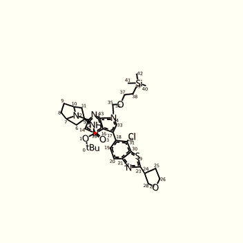 CC(C)(C)OC(=O)NC1CC2CCC(C1)N2c1cnc2c(-c3ccc4nc(C5CCOC5)sc4c3Cl)cn(COCC[Si](C)(C)C)c2n1